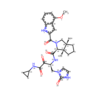 COc1cccc2[nH]c(C(=O)N3C[C@@H]4CCC[C@@H]4[C@H]3C(=O)N[C@@H](Cn3cc[nH]c3=O)C(=O)C(=O)NC3CC3)cc12